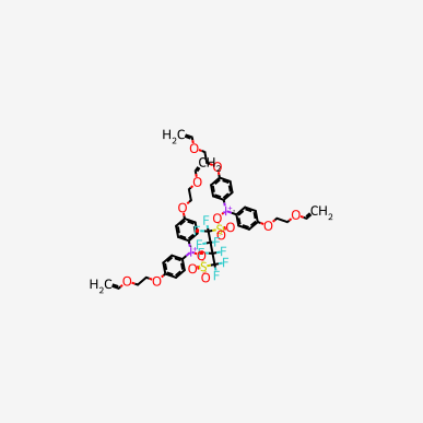 C=COCCOc1ccc([I+](OS(=O)(=O)C(F)(F)C(F)(F)C(F)(F)C(F)(F)S(=O)(=O)O[I+](c2ccc(OCCOC=C)cc2)c2ccc(OCCOC=C)cc2)c2ccc(OCCOC=C)cc2)cc1